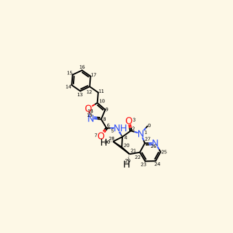 CN1C(=O)[C@]2(NC(=O)c3cc(Cc4ccccc4)on3)C3[C@@H](c4cccnc41)[C@H]32